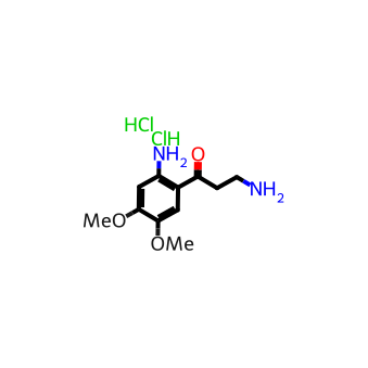 COc1cc(N)c(C(=O)CCN)cc1OC.Cl.Cl